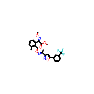 CO/N=C(/C(=O)OC)c1cccc(C)c1CO/N=C(\C)c1cc(-c2cccc(C(F)(F)F)c2)on1